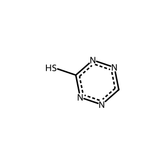 Sc1nncnn1